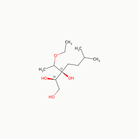 CCOC(C)[C@](O)(CCC(C)C)[C@H](O)CO